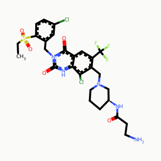 CCS(=O)(=O)c1ccc(Cl)cc1Cn1c(=O)[nH]c2c(Cl)c(CN3CCC[C@H](NC(=O)CCN)C3)c(C(F)(F)F)cc2c1=O